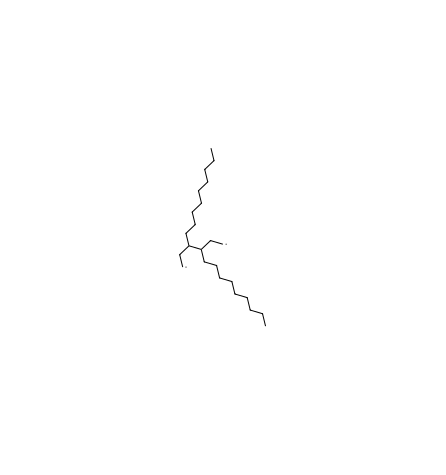 [CH2]CC(CCCCCCCCC)C(C[CH2])CCCCCCCCC